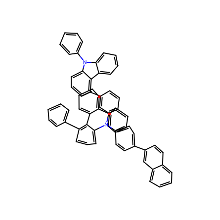 c1ccc(-c2ccccc2-c2c(-c3ccccc3)cccc2N(c2ccc(-c3ccc4ccccc4c3)cc2)c2cccc(-c3cccc4c3c3ccccc3n4-c3ccccc3)c2)cc1